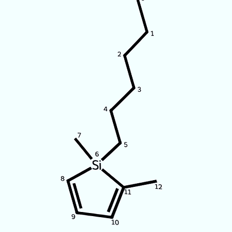 CCCCCC[Si]1(C)C=CC=C1C